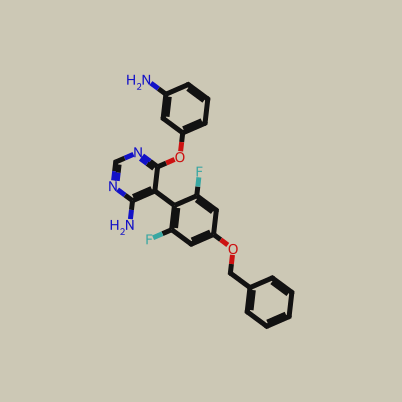 Nc1cccc(Oc2ncnc(N)c2-c2c(F)cc(OCc3ccccc3)cc2F)c1